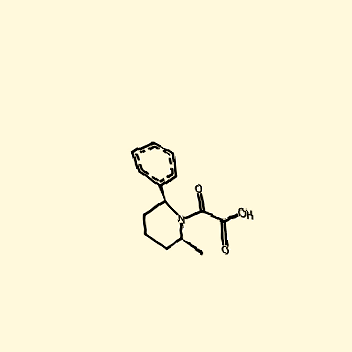 C[C@H]1CCC[C@@H](c2ccccc2)N1C(=O)C(=O)O